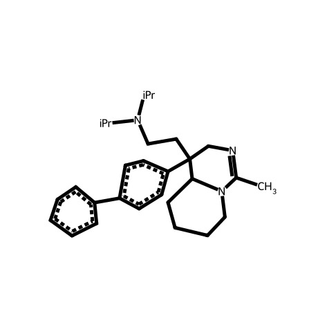 CC1=NCC(CCN(C(C)C)C(C)C)(c2ccc(-c3ccccc3)cc2)C2CCCCN12